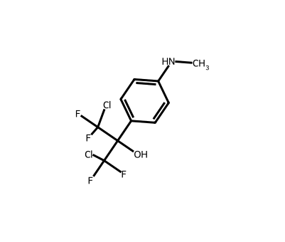 CNc1ccc(C(O)(C(F)(F)Cl)C(F)(F)Cl)cc1